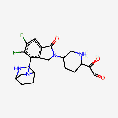 O=CC(=O)C1CCC(N2Cc3c(cc(F)c(F)c3N3CC4CCC3CN4)C2=O)CN1